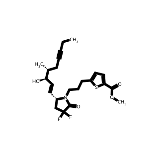 CCC#CC[C@@H](C)[C@H](O)/C=C/[C@H]1CC(F)(F)C(=O)N1CCCc1ccc(C(=O)OC)s1